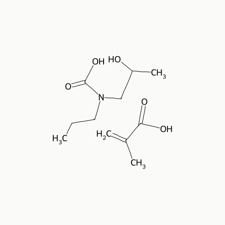 C=C(C)C(=O)O.CCCN(CC(C)O)C(=O)O